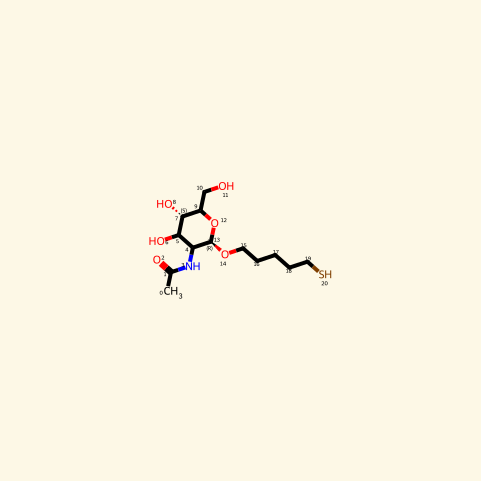 CC(=O)NC1C(O)[C@H](O)C(CO)O[C@H]1OCCCCCS